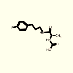 C[C@@H](NC(=O)O)C(=O)NCCCc1ccc(F)cc1